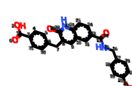 O=C(O)c1ccc(Cc2cc3cc(C(=O)NCc4ccc(Br)cc4)ccc3[nH]c2=O)cc1